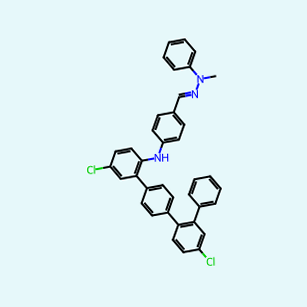 CN(N=Cc1ccc(Nc2ccc(Cl)cc2-c2ccc(-c3ccc(Cl)cc3-c3ccccc3)cc2)cc1)c1ccccc1